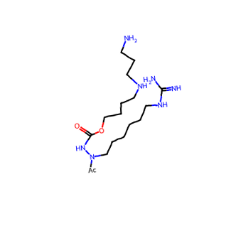 CC(=O)N(CCCCCCNC(=N)N)NC(=O)OCCCCNCCCN